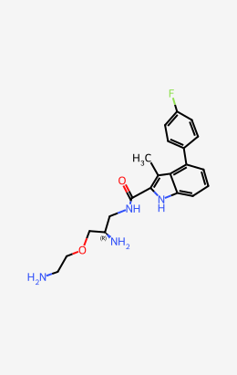 Cc1c(C(=O)NC[C@@H](N)COCCN)[nH]c2cccc(-c3ccc(F)cc3)c12